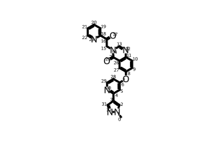 Cn1cc(-c2cc(Oc3ccc4ncn(CC(=O)c5ccccn5)c(=O)c4c3)ccn2)cn1